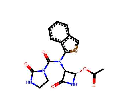 CC(=O)O[C@@H]1NC(=O)[C@H]1N(C(=O)N1CCNC1=O)c1scc2ccccc12